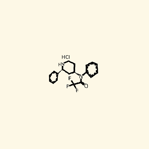 Cl.O=C(N(c1ccccc1)[C@@H]1CCN[C@H](c2ccccc2)C1)C(F)(F)F